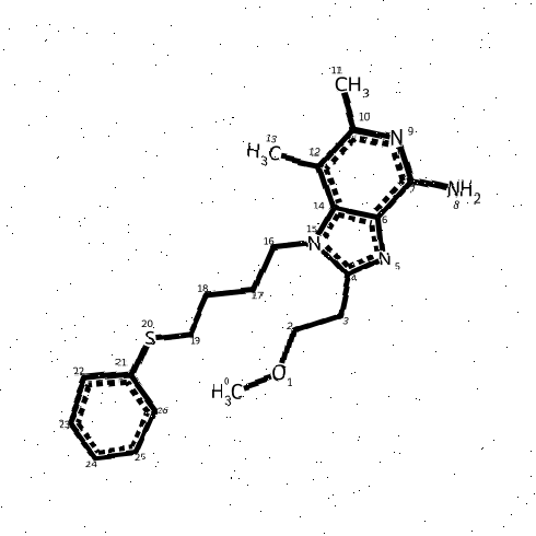 COCCc1nc2c(N)nc(C)c(C)c2n1CCCCSc1ccccc1